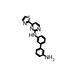 Nc1cccc(-c2cccc(Nc3nccc(-c4nccs4)n3)c2)c1